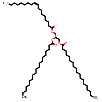 CCCCCCCC/C=C\CCCCCCCC(=O)OC[C@H](COC(=O)CCCCCCCCCCCCCCCCCC)OC(=O)CCCCCCCCCCCCCCCCCC